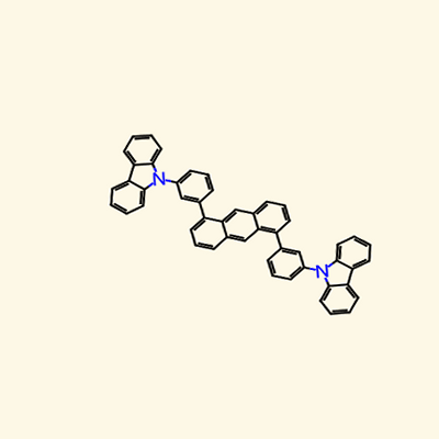 c1cc(-c2cccc3cc4c(-c5cccc(-n6c7ccccc7c7ccccc76)c5)cccc4cc23)cc(-n2c3ccccc3c3ccccc32)c1